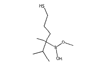 COB(O)C(C)(CCCS)C(C)C